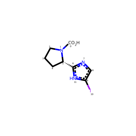 O=C(O)N1CCC[C@H]1c1ncc(I)[nH]1